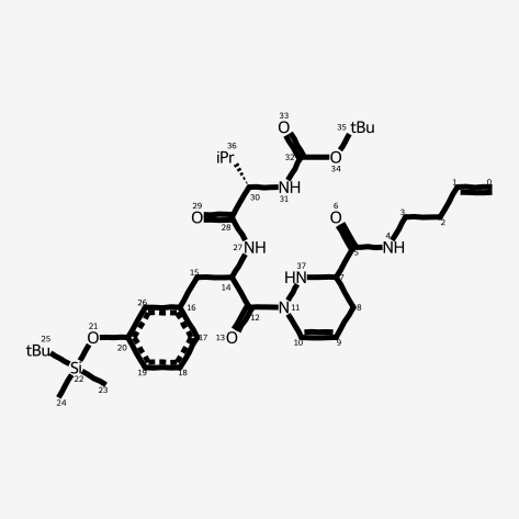 C=CCCNC(=O)C1CC=CN(C(=O)C(Cc2cccc(O[Si](C)(C)C(C)(C)C)c2)NC(=O)[C@@H](NC(=O)OC(C)(C)C)C(C)C)N1